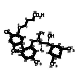 COc1cc(Cl)c(OCCCC(=O)O)cc1-c1ccc(C(F)(F)F)cc1CN(C(C)C)[C@@H](C)[C@H](O)c1cc(C(F)(F)F)cc(C(F)(F)F)c1